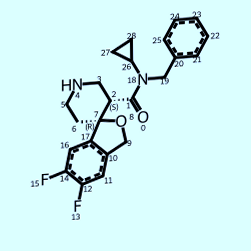 O=C([C@H]1CNCC[C@@]12OCc1cc(F)c(F)cc12)N(Cc1ccccc1)C1CC1